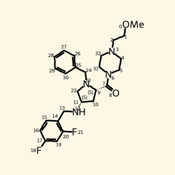 COCCN1CCN(C(=O)[C@@H]2C[C@H](NCc3ccc(F)cc3F)CN2Cc2ccccc2)CC1